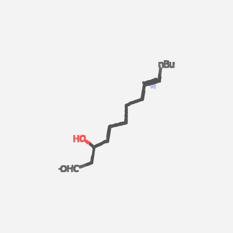 CCCC/C=C/CCCCCC(O)C[C]=O